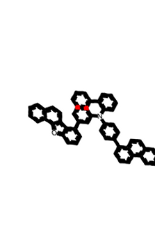 c1ccc(-c2ccccc2N(c2ccc(-c3cccc4c3ccc3ccccc34)cc2)c2cccc(-c3cccc4oc5c6ccccc6ccc5c34)c2)cc1